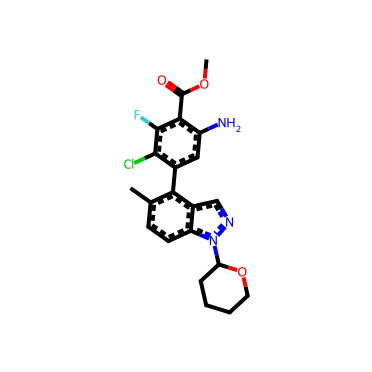 COC(=O)c1c(N)cc(-c2c(C)ccc3c2cnn3C2CCCCO2)c(Cl)c1F